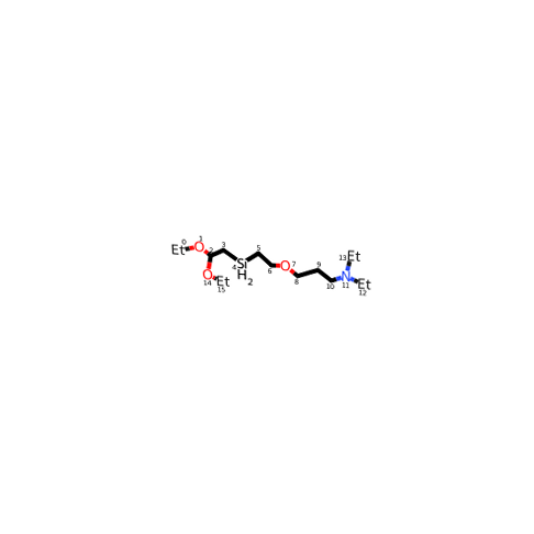 CCOC(C[SiH2]CCOCCCN(CC)CC)OCC